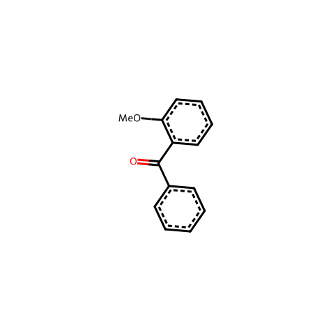 COc1ccccc1C(=O)c1ccccc1